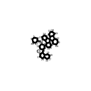 c1ccc(N(c2ccc3c(c2)oc2ccc4ccccc4c23)c2cccc3c2-c2ccccc2C32c3ccccc3-c3ccccc32)cc1